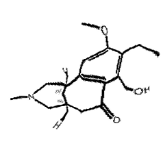 CCc1c(OC)cc2c(c1O)C(=O)C[C@@H]1CN(C)C[C@H]21